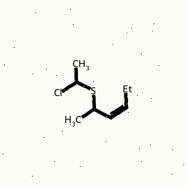 CC/C=C\C(C)SC(C)Cl